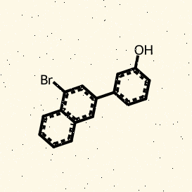 Oc1cccc(-c2cc(Br)c3ccccc3c2)c1